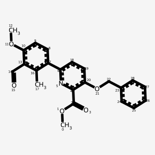 COC(=O)c1nc(-c2ccc(OC)c(C=O)c2C)ccc1OCc1ccccc1